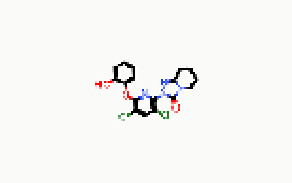 O=c1n(-c2nc(Oc3ccccc3O)c(Cl)cc2Cl)nc2n1CCCC2